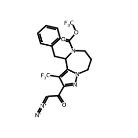 [N-]=[N+]=CC(=O)c1nn2c(c1C(F)(F)F)C(Cc1ccccc1)N(C(=O)OC(F)(F)F)CCC2